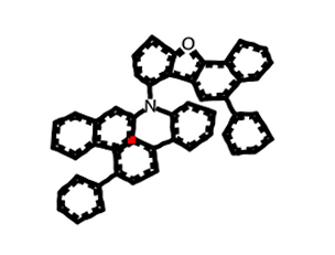 c1ccc(-c2ccc(-c3ccccc3N(c3ccc4ccccc4c3)c3cccc4oc5c6ccccc6c(-c6ccccc6)cc5c34)cc2)cc1